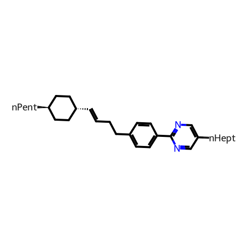 CCCCCCCc1cnc(-c2ccc(CC/C=C/[C@H]3CC[C@H](CCCCC)CC3)cc2)nc1